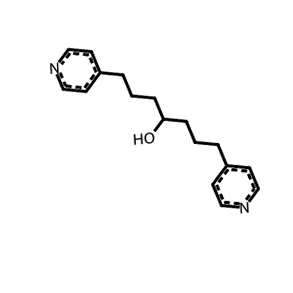 OC(CCCc1ccncc1)CCCc1ccncc1